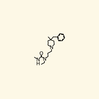 CCN(CCCN1CCC(C)(Cc2ccccc2)CC1)C(=O)NC